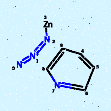 [N-]=[N+]=[N][Zn].c1ccncc1